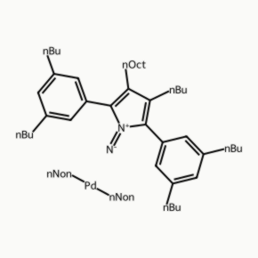 CCCCCCCCC1=C(c2cc(CCCC)cc(CCCC)c2)[N+](=[N-])C(c2cc(CCCC)cc(CCCC)c2)=C1CCCC.CCCCCCCC[CH2][Pd][CH2]CCCCCCCC